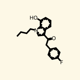 CCCCn1cc(C(=O)Cc2ccc(F)cc2)c2cccc(O)c21